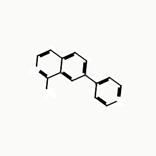 Nc1nccc2ccc(-c3ccncc3)cc12